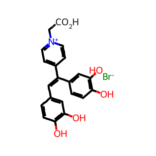 O=C(O)C[n+]1ccc(C(=Cc2ccc(O)c(O)c2)c2ccc(O)c(O)c2)cc1.[Br-]